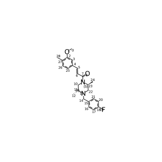 COc1cc(C=CC(=O)N2C[C@@H](C)N(Cc3ccc(F)cc3)C[C@@H]2C)ccc1C